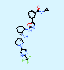 O=C(NC1CC1)c1cccc(-c2cnc(N[C@@H]3CCCC[C@H]3N[C@H]3CCCN(c4cnc(C(F)(F)F)nc4)C3)o2)c1